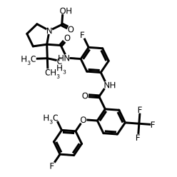 Cc1cc(F)ccc1Oc1ccc(C(F)(F)F)cc1C(=O)Nc1ccc(F)c(NC(=O)C2(C(C)(C)C)CCCN2C(=O)O)c1